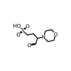 O=CC(CCS(=O)(=O)O)N1CCOCC1